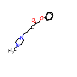 CN1CCN(CCCCC(=O)COc2ccccc2)CC1